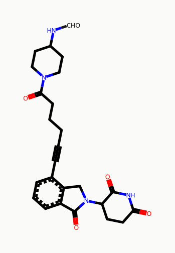 O=CNC1CCN(C(=O)CCCC#Cc2cccc3c2CN(C2CCC(=O)NC2=O)C3=O)CC1